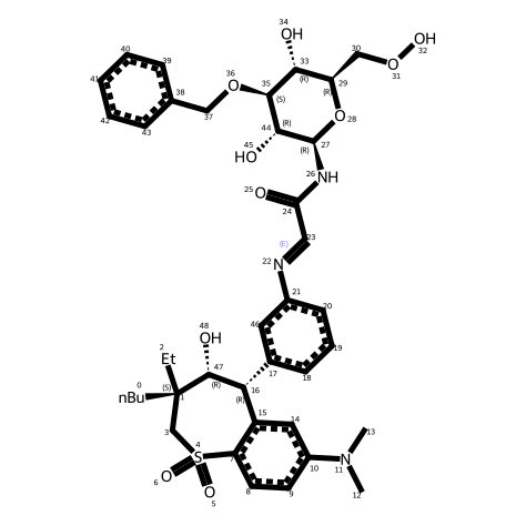 CCCC[C@]1(CC)CS(=O)(=O)c2ccc(N(C)C)cc2[C@@H](c2cccc(/N=C/C(=O)N[C@@H]3O[C@H](COO)[C@@H](O)[C@H](OCc4ccccc4)[C@H]3O)c2)[C@H]1O